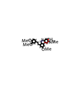 CNC(C)CCc1cc(OC)cc(CCc2ccc(OC)c(OC)c2)c1/C=C\c1ccccc1